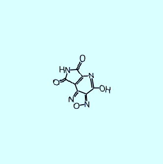 O=C1NC(=O)c2c1nc(O)c1nonc21